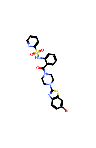 O=C(c1ccccc1NS(=O)(=O)c1ccccn1)N1CCN(c2nc3ccc(Br)cc3s2)CC1